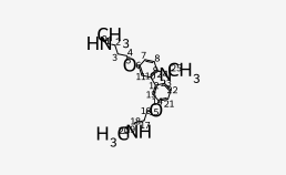 CNCCCOc1ccc2c(c1)c1cc(OCCCNC)ccc1n2C